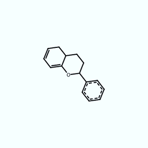 C1=CCC2CCC(c3ccccc3)OC2=C1